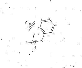 C=C.C[N+](C)(C)Cc1ccccc1.[Cl-]